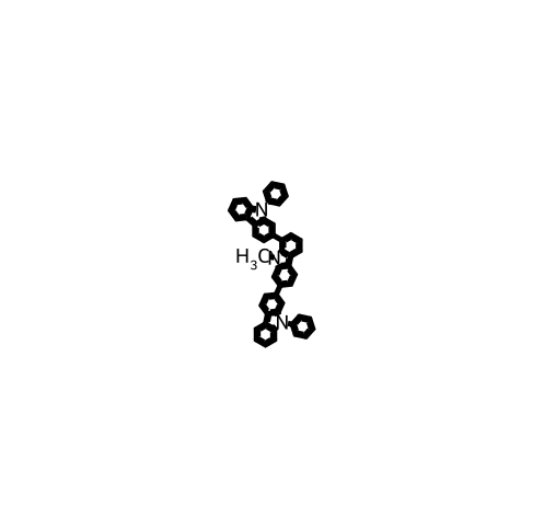 Cn1c2cc(-c3ccc4c5ccccc5n(-c5ccccc5)c4c3)ccc2c2cccc(-c3ccc4c5ccccc5n(-c5ccccc5)c4c3)c21